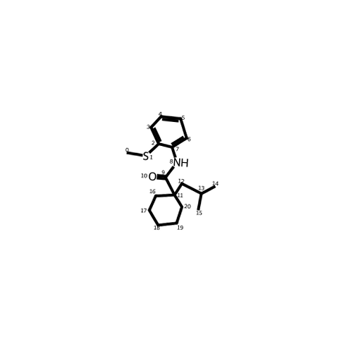 CSc1ccccc1NC(=O)C1(CC(C)C)CCCCC1